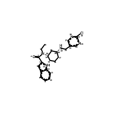 CCN(C(=O)c1cc2ccccc2[nH]1)[C@H]1CCC[C@@H](NCc2cnc(Cl)nc2)C1